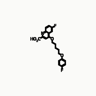 O=C(O)c1cc(OCCCCCOc2ccc(F)cc2)c2cc(F)ccc2n1